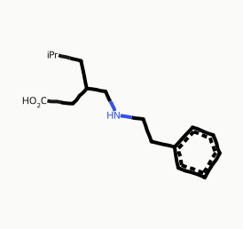 CC(C)CC(CNCCc1ccccc1)CC(=O)O